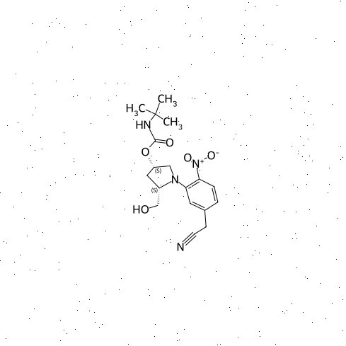 CC(C)(C)NC(=O)O[C@H]1C[C@@H](CO)N(c2cc(CC#N)ccc2[N+](=O)[O-])C1